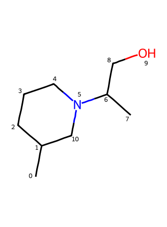 CC1CCCN(C(C)CO)C1